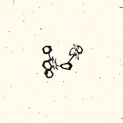 c1ccc(-c2nc(-c3cccc(-c4nc5cccnc5o4)c3)nc3c2ccc2ccccc23)cc1